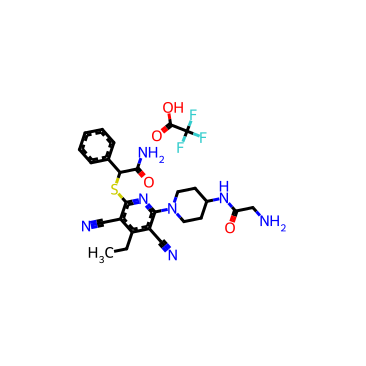 CCc1c(C#N)c(SC(C(N)=O)c2ccccc2)nc(N2CCC(NC(=O)CN)CC2)c1C#N.O=C(O)C(F)(F)F